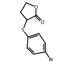 O=C1OCCC1Sc1ccc(Br)cc1